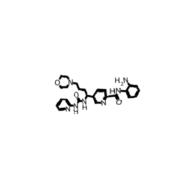 Nc1ccccc1NC(=O)c1ccc(C(CCCN2CCOCC2)NC(=O)Nc2ccccn2)cn1